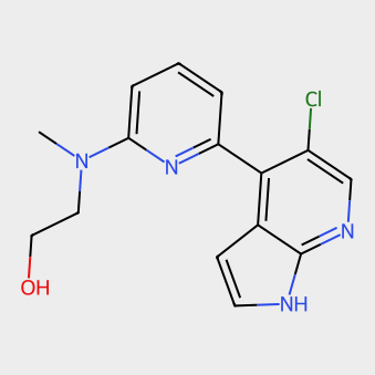 CN(CCO)c1cccc(-c2c(Cl)cnc3[nH]ccc23)n1